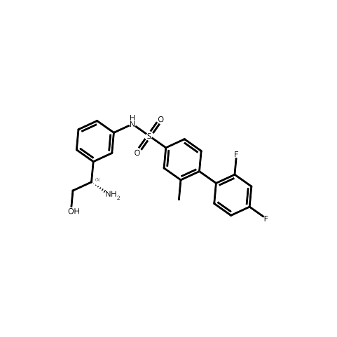 Cc1cc(S(=O)(=O)Nc2cccc([C@H](N)CO)c2)ccc1-c1ccc(F)cc1F